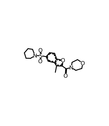 Cc1c(C(=O)N2CCOCC2)oc2ccc(S(=O)(=O)N3CCCCC3)cc12